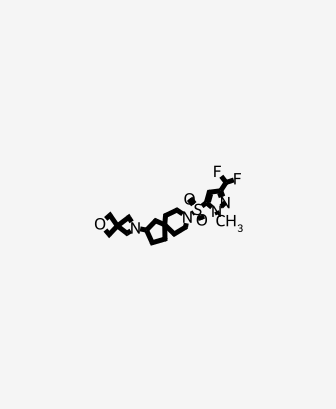 Cn1nc(C(F)F)cc1S(=O)(=O)N1CCC2(CCC(N3CC4(COC4)C3)C2)CC1